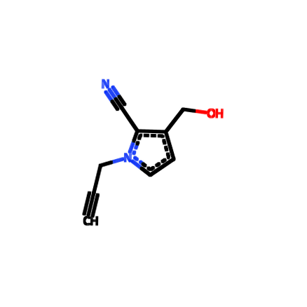 C#CCn1ccc(CO)c1C#N